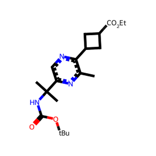 CCOC(=O)C1CC(c2ncc(C(C)(C)NC(=O)OC(C)(C)C)nc2C)C1